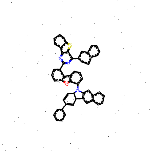 C1=CC2C(C=C1c1ccccc1)c1cc3ccccc3cc1N2c1cccc2c1oc1cccc(-c3nc(-c4ccc5ccccc5c4)c4sc5ccccc5c4n3)c12